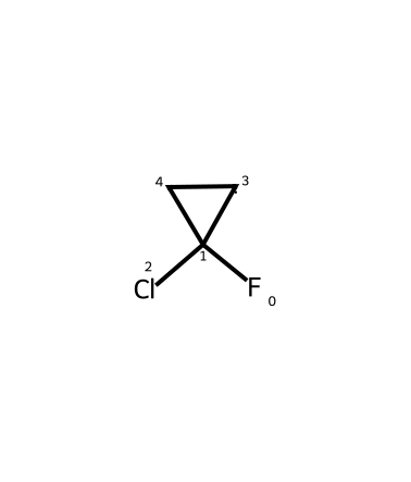 FC1(Cl)[CH]C1